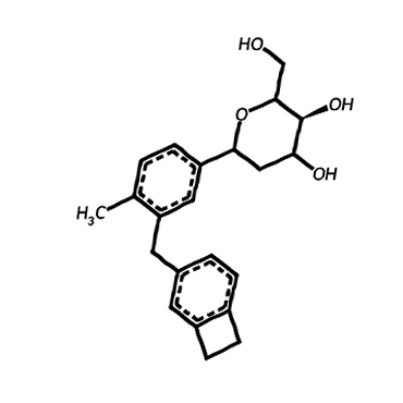 Cc1ccc(C2CC(O)[C@H](O)C(CO)O2)cc1Cc1ccc2c(c1)CC2